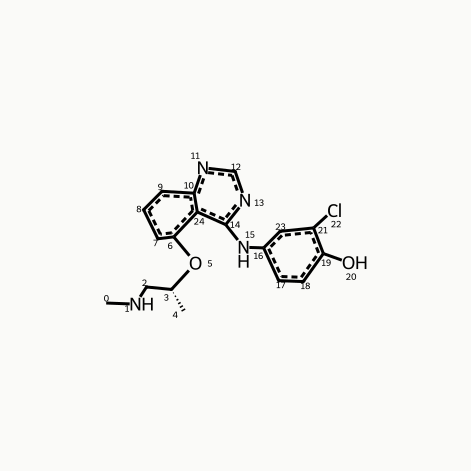 CNC[C@@H](C)Oc1cccc2ncnc(Nc3ccc(O)c(Cl)c3)c12